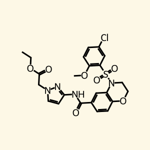 CCOC(=O)Cn1ccc(NC(=O)c2ccc3c(c2)N(S(=O)(=O)c2cc(Cl)ccc2OC)CCO3)n1